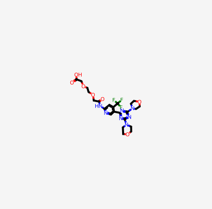 O=C(O)COCCOCC(=O)Nc1cc(C(F)(F)F)c(-c2nc(N3CCOCC3)nc(N3CCOCC3)n2)cn1